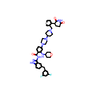 O=C1CCC(c2ccccc2CN2CCC(N3CCN(c4ccc(C(=O)Nc5n[nH]c6ccc(Cc7cc(F)cc(F)c7)cc56)c(NC5CCOCC5)c4)CC3)CC2)C(=O)N1